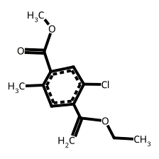 C=C(OCC)c1cc(C)c(C(=O)OC)cc1Cl